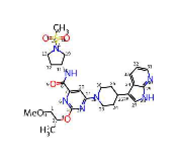 COC[C@@H](C)Oc1nc(C(=O)N[C@@H]2CCN(S(C)(=O)=O)C2)cc(N2CCC(c3c[nH]c4ncccc34)CC2)n1